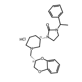 CC(c1ccccc1)N1CCN([C@H]2CCCN(C[C@H]3COc4ccccc4O3)C2)C1=O.Cl